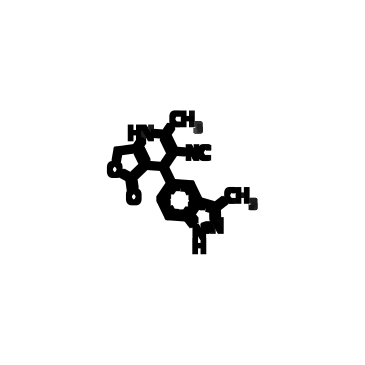 [C-]#[N+]C1=C(C)NC2=C(C(=O)OC2)C1c1ccc2[nH]nc(C)c2c1